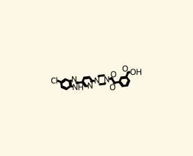 O=C(O)c1cccc(C(=O)C(=O)N2CCN(c3ccc(-c4nc5cc(Cl)ccc5[nH]4)cn3)CC2)c1